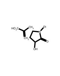 C=C(C)C(=O)O.CCN1CCC(O)C1=O